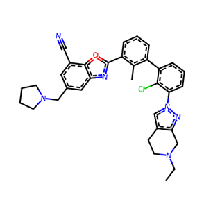 CCN1CCc2cn(-c3cccc(-c4cccc(-c5nc6cc(CN7CCCC7)cc(C#N)c6o5)c4C)c3Cl)nc2C1